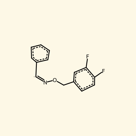 Fc1ccc(CO/N=[C]\c2ccccc2)cc1F